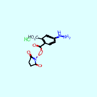 Cl.NNc1ccc(C(=O)ON2C(=O)CCC2=O)c(C(=O)O)c1